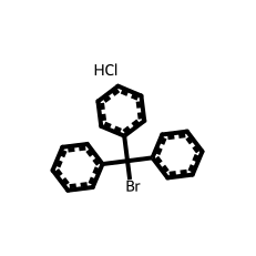 BrC(c1ccccc1)(c1ccccc1)c1ccccc1.Cl